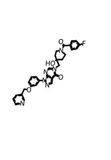 O=C(c1ccc(F)cc1)N1CCC(O)(Cn2cnc3c(cnn3-c3cccc(OCc4cccnc4)c3)c2=O)CC1